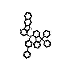 c1ccc(-c2ccc(N(c3cccc4c3-c3ccccc3C4(c3ccccc3)c3ccccc3)c3ccnc4c3oc3cc5ccccc5cc34)cc2)cc1